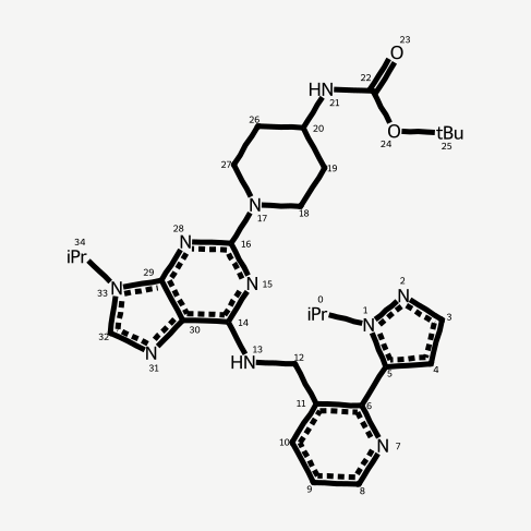 CC(C)n1nccc1-c1ncccc1CNc1nc(N2CCC(NC(=O)OC(C)(C)C)CC2)nc2c1ncn2C(C)C